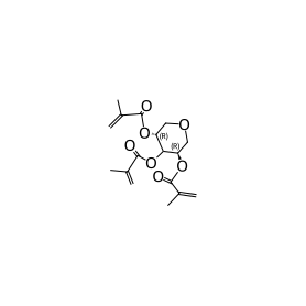 C=C(C)C(=O)OC1[C@H](OC(=O)C(=C)C)COC[C@H]1OC(=O)C(=C)C